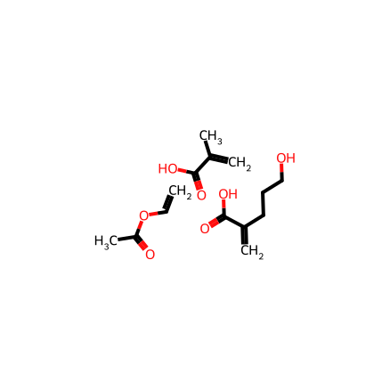 C=C(C)C(=O)O.C=C(CCCO)C(=O)O.C=COC(C)=O